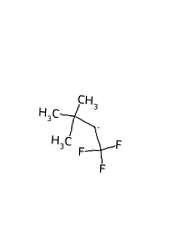 CC(C)(C)[CH]C(F)(F)F